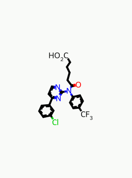 O=C(O)CCCCC(=O)N(c1ccc(C(F)(F)F)cc1)c1nccc(-c2cccc(Cl)c2)n1